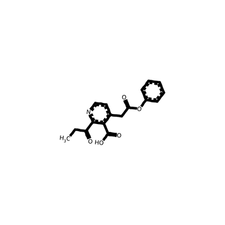 CCC(=O)c1nccc(CC(=O)Oc2ccccc2)c1C(=O)O